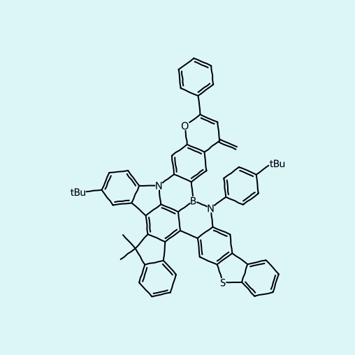 C=C1C=C(c2ccccc2)Oc2cc3c(cc21)B1c2c(c4c(c5c6cc(C(C)(C)C)ccc6n-3c25)C(C)(C)c2ccccc2-4)-c2cc3sc4ccccc4c3cc2N1c1ccc(C(C)(C)C)cc1